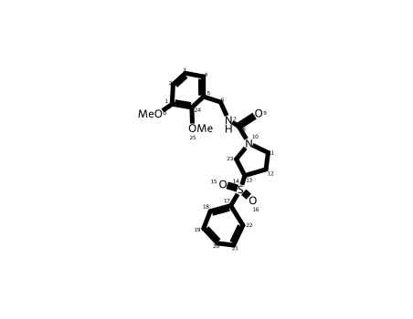 COc1cccc(CNC(=O)N2CCC(S(=O)(=O)c3ccccc3)C2)c1OC